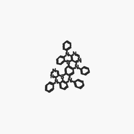 c1ccc(N2c3cc4c(cc3B3c5cncnc5N(c5ccccc5)c5cccc2c53)B2c3ccccc3N(c3ccccc3)c3ncnc(c32)N4c2ccccc2)cc1